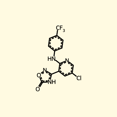 O=c1[nH]c(-c2cc(Cl)cnc2Nc2ccc(C(F)(F)F)cc2)no1